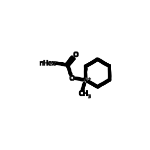 CCCCCCC(=O)O[N+]1(C)CCCCC1